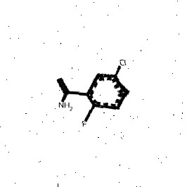 C=C(N)c1cc(Cl)ccc1F